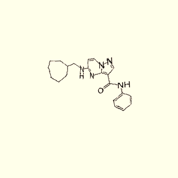 O=C(Nc1ccccc1)c1cnn2ccc(NCC3CCCCCC3)nc12